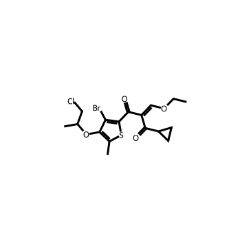 CCOC=C(C(=O)c1sc(C)c(OC(C)CCl)c1Br)C(=O)C1CC1